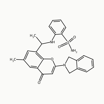 Cc1cc(C(C)Nc2ccccc2S(N)(=O)=O)c2oc(N3Cc4ccccc4C3)cc(=O)c2c1